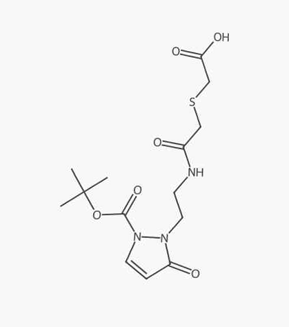 CC(C)(C)OC(=O)n1ccc(=O)n1CCNC(=O)CSCC(=O)O